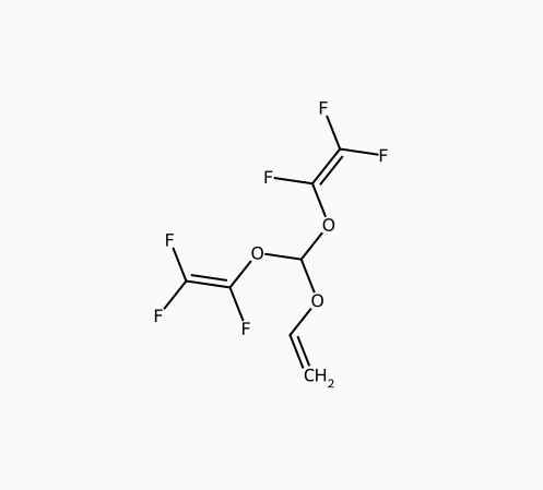 C=COC(OC(F)=C(F)F)OC(F)=C(F)F